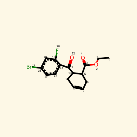 CCOC(=O)C1CC=CCC1C(=O)c1ccc(Br)cc1F